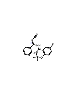 CC1(C)Oc2ccc(F)cc2[C@H](N/C(=N\C#N)c2cccnc2)[C@H]1O